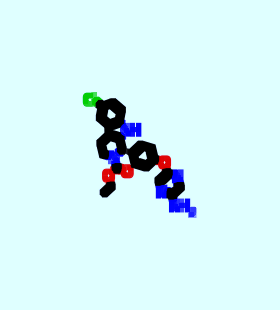 CCOC(=O)N1CCc2c([nH]c3ccc(Cl)cc23)[C@@H]1c1ccc(Oc2cnc(N)cn2)cc1